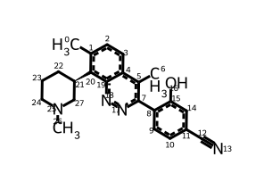 Cc1ccc2c(C)c(-c3ccc(C#N)cc3O)nnc2c1[C@@H]1CCCN(C)C1